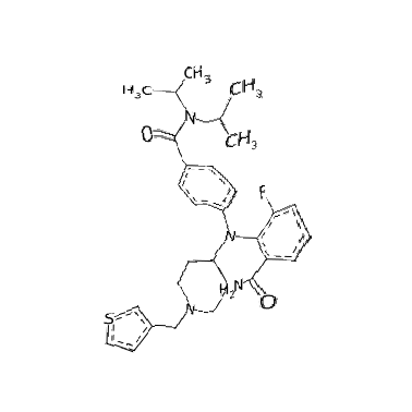 CC(C)N(C(=O)c1ccc(N(c2c(F)cccc2C(N)=O)C2CCN(Cc3ccsc3)CC2)cc1)C(C)C